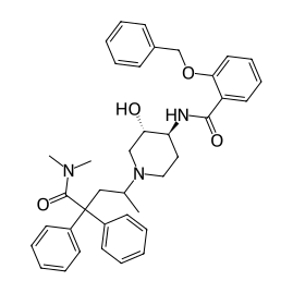 CC(CC(C(=O)N(C)C)(c1ccccc1)c1ccccc1)N1CC[C@H](NC(=O)c2ccccc2OCc2ccccc2)[C@@H](O)C1